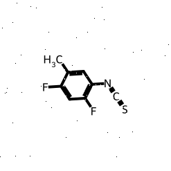 Cc1cc(N=C=S)c(F)cc1F